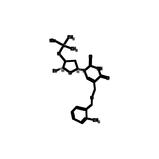 CC[C@H]1O[C@@H](n2cc(COCc3ccccc3C)c(=O)[nH]c2=O)CC1O[Si](C)(C)C(C)(C)C